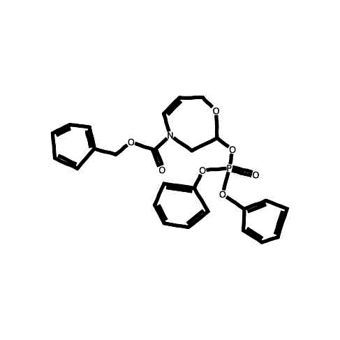 O=C(OCc1ccccc1)N1C=CCOC(OP(=O)(Oc2ccccc2)Oc2ccccc2)C1